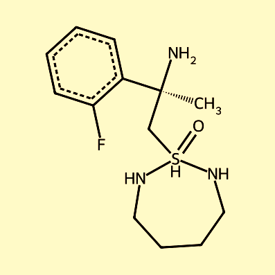 C[C@](N)(C[SH]1(=O)NCCCCN1)c1ccccc1F